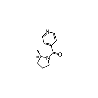 C[C@@H]1CCCN1C(=O)c1ccncc1